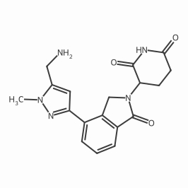 Cn1nc(-c2cccc3c2CN(C2CCC(=O)NC2=O)C3=O)cc1CN